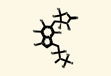 [2H]c1c(C[C@]2([2H])N([2H])C(=O)OC2([2H])[2H])c([2H])c2c(CC([2H])([2H])N(C)C([2H])([2H])[2H])cn([2H])c2c1[2H]